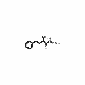 CONC(=O)C(N)CCc1ccccc1